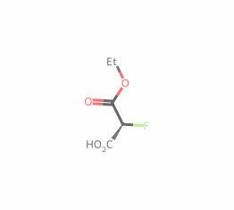 CCOC(=O)[C@@H](F)C(=O)O